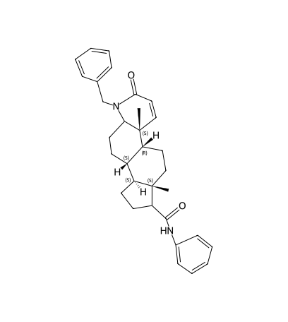 C[C@]12C=CC(=O)N(Cc3ccccc3)C1CC[C@@H]1[C@H]2CC[C@]2(C)C(C(=O)Nc3ccccc3)CC[C@@H]12